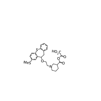 CSc1ccc2c(c1)C(OCCN1CCCC(C(=O)OC(=O)C(=O)O)C1)Cc1ccccc1S2